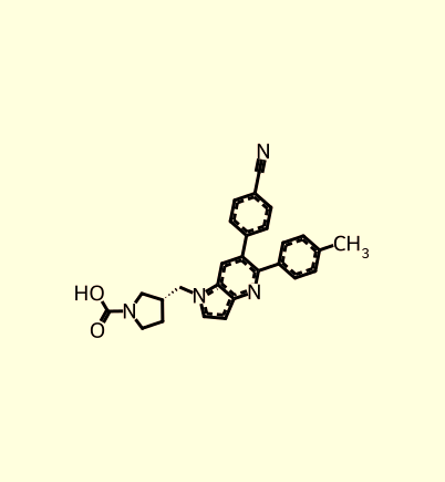 Cc1ccc(-c2nc3ccn(C[C@@H]4CCN(C(=O)O)C4)c3cc2-c2ccc(C#N)cc2)cc1